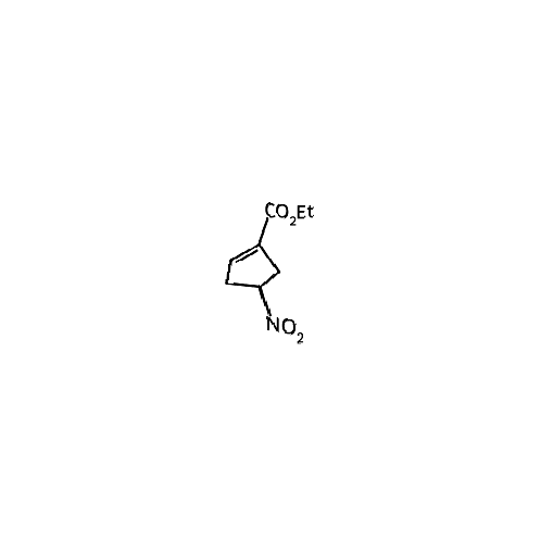 CCOC(=O)C1=CCC([N+](=O)[O-])C1